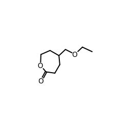 CCOCC1CCOC(=O)CC1